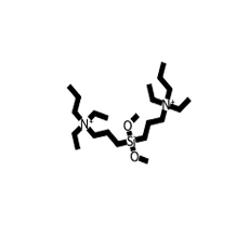 CCC[N+](CC)(CC)CCC[Si](CCC[N+](CC)(CC)CCC)(OC)OC